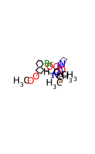 COCOc1cc(C2Cc3nc(SC)nc(N4CC5CCC(C4)N5C(=O)OC(C)(C)C)c3CO2)c2c(Br)cccc2c1